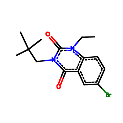 CCn1c(=O)n(CC(C)(C)C)c(=O)c2cc(Br)ccc21